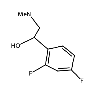 CNCC(O)c1ccc(F)cc1F